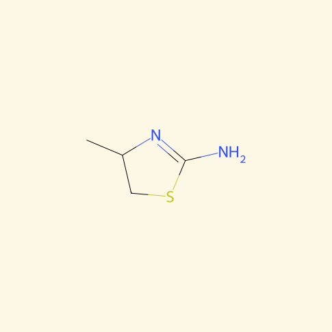 CC1CSC(N)=N1